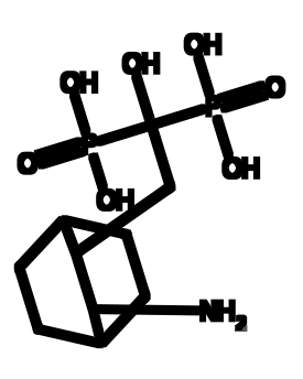 NC1C2CCC(CC2)C1CC(O)(P(=O)(O)O)P(=O)(O)O